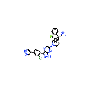 NC[C@]1(c2ccccc2F)[C@@H]2CCN(c3cnc4c(-c5ccc(-c6cn[nH]c6)cc5Cl)n[nH]c4n3)C[C@@H]21